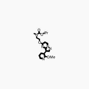 COc1ncccc1-c1cnn2ccc(OCCN(C)C(=O)OC(C)C)nc12